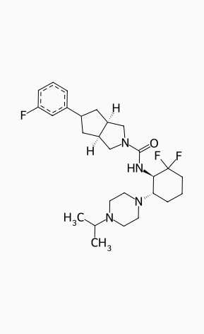 CC(C)N1CCN([C@H]2CCCC(F)(F)[C@@H]2NC(=O)N2C[C@H]3CC(c4cccc(F)c4)C[C@H]3C2)CC1